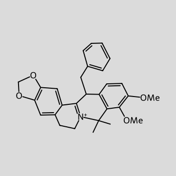 COc1ccc2c(c1OC)C(C)(C)[N+]1=C(c3cc4c(cc3CC1)OCO4)C2Cc1ccccc1